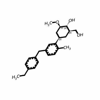 CCc1ccc(Cc2ccc(C)c([C@@H]3C[C@H](CO)[C@@H](O)[C@H](OC)C3)c2)cc1